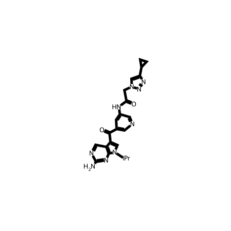 CC(C)n1cc(C(=O)c2cncc(NC(=O)Cn3cc(C4CC4)nn3)c2)c2cnc(N)nc21